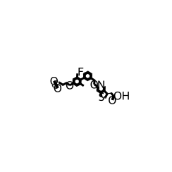 Cc1cc(OCCCS(C)(=O)=O)cc(C)c1-c1cc(COc2cc3c(cn2)[C@@H](CC(=O)O)CS3)ccc1F